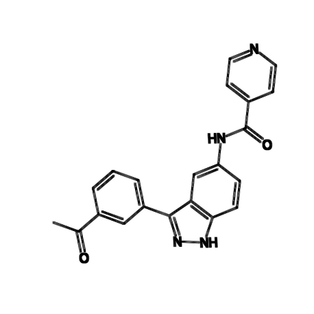 CC(=O)c1cccc(-c2n[nH]c3ccc(NC(=O)c4ccncc4)cc23)c1